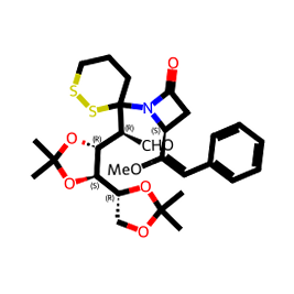 COC(=Cc1ccccc1)[C@@H]1CC(=O)N1C1([C@@H](C=O)[C@H]2OC(C)(C)O[C@@H]2[C@H]2COC(C)(C)O2)CCCSS1